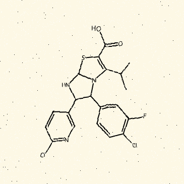 CC(C)C1=C(C(=O)O)SC2NC(c3ccc(Cl)nc3)C(c3ccc(Cl)c(F)c3)N12